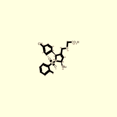 Cc1ccccc1S(=O)(=O)N1[C@@H](c2ccc(Cl)cc2)C(COCC(=O)O)=C[C@H]1C(C)(C)C